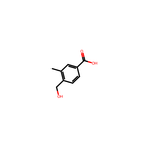 [CH2]c1cc(C(=O)O)ccc1CO